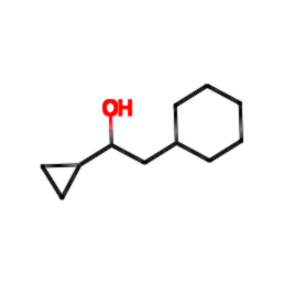 OC(CC1CCCCC1)C1CC1